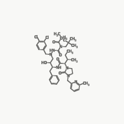 CCC(C)C(C(=O)NC(Cc1ccccc1)C(O)CN(Cc1ccc(Cl)c(Cl)c1)NC(=O)N(CC(C)(C)C)C(=O)OC)N1CCN(Cc2cccc(C)n2)C1=O